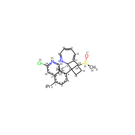 CC(C)c1ccc(C2([C@@]3(C)N=CC=CC=C3C[S@+](C)[O-])CCC2)c2cnc(Cl)cc12